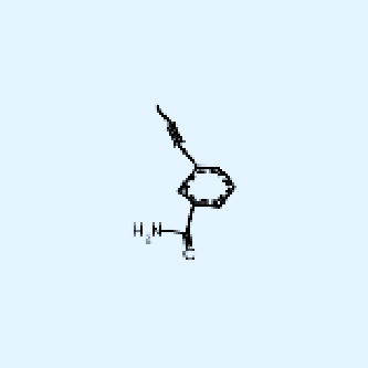 CC#Cc1cccc(C(N)=O)c1